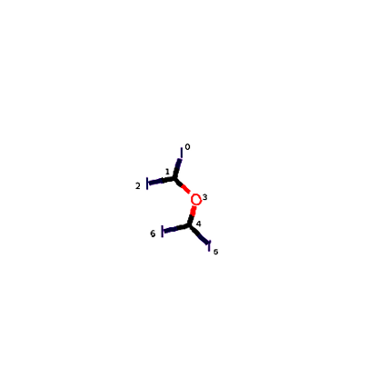 IC(I)OC(I)I